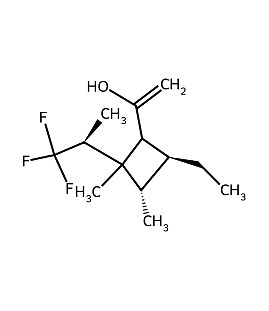 C=C(O)C1[C@@H](CC)[C@H](C)C1(C)[C@H](C)C(F)(F)F